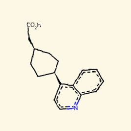 O=C(O)C[C@H]1CC[C@@H](c2ccnc3ccccc32)CC1